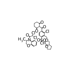 CC1COc2ccccc2N1C(=O)C(Cl)Cl.CS(=O)(=O)c1ccc(C(=O)C2C(=O)CCCC2=O)c(Cl)c1COCC1CCCO1